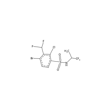 CC(NS(=O)(=O)c1ccc(Br)c(C(F)F)c1Cl)C(F)(F)F